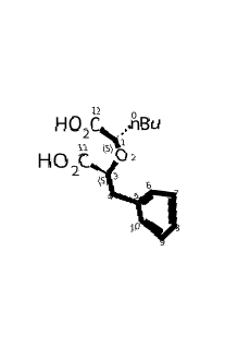 CCCC[C@H](O[C@@H](Cc1ccccc1)C(=O)O)C(=O)O